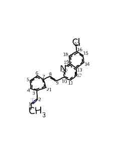 C/C=C/c1cccc(C=Cc2ccc3ccc(Cl)cc3n2)c1